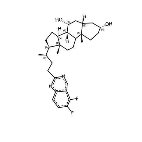 C[C@H](CCc1ncc2c(F)c(F)ccc2n1)[C@H]1CC[C@H]2[C@H]3C(CC[C@]12C)[C@@]1(C)CC[C@@H](O)C[C@H]1C[C@H]3O